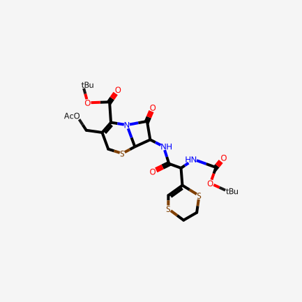 CC(=O)OCC1=C(C(=O)OC(C)(C)C)N2C(=O)C(NC(=O)C(NC(=O)OC(C)(C)C)C3=CSCCS3)C2SC1